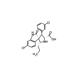 CCC[C@H]1N[C@@H](C(=O)O)[C@H](c2cccc(Cl)c2)[C@@]12C(=O)Nc1cc(Cl)ccc12